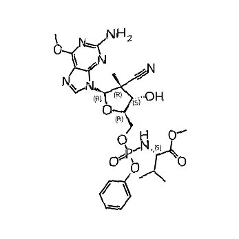 COC(=O)[C@@H](NP(=O)(OC[C@H]1O[C@@H](n2cnc3c(OC)nc(N)nc32)[C@](C)(C#N)[C@@H]1O)Oc1ccccc1)C(C)C